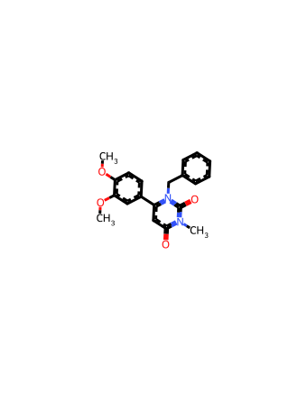 COc1ccc(-c2cc(=O)n(C)c(=O)n2Cc2ccccc2)cc1OC